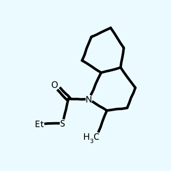 CCSC(=O)N1C(C)CCC2CCCCC21